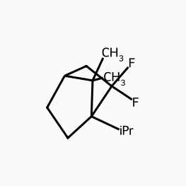 CC(C)C12CCC(CC1(F)F)C2(C)C